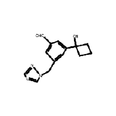 N#CC1(c2cc(C=O)cc(Cn3cncn3)c2)CCC1